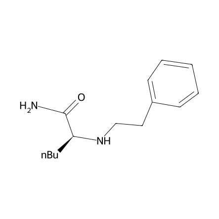 CCCC[C@H](NCCc1ccccc1)C(N)=O